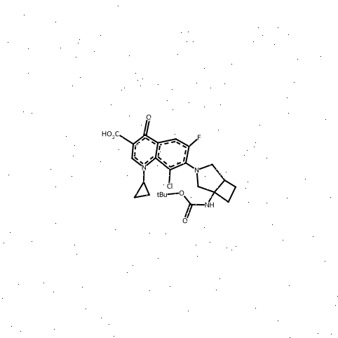 CC(C)(C)OC(=O)NC12CCC1CN(c1c(F)cc3c(=O)c(C(=O)O)cn(C4CC4)c3c1Cl)C2